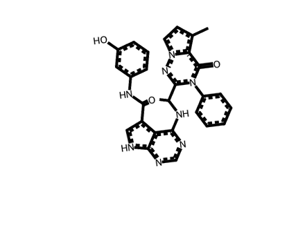 Cc1ccn2nc(C(C)Nc3ncnc4[nH]cc(C(=O)Nc5cccc(O)c5)c34)n(-c3ccccc3)c(=O)c12